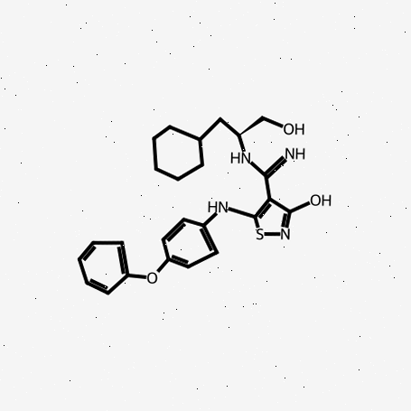 N=C(N[C@H](CO)CC1CCCCC1)c1c(O)nsc1Nc1ccc(Oc2ccccc2)cc1